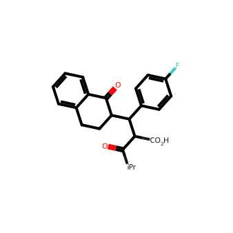 CC(C)C(=O)C(C(=O)O)C(c1ccc(F)cc1)C1CCc2ccccc2C1=O